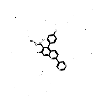 CC(=O)[C@@H](OC(C)(C)C)c1c(C)cc2nc(-c3cncnc3)ccc2c1-c1ccc(Cl)cc1